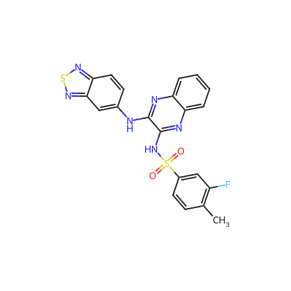 Cc1ccc(S(=O)(=O)Nc2nc3ccccc3nc2Nc2ccc3nsnc3c2)cc1F